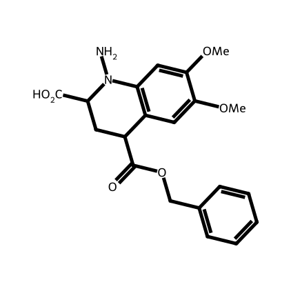 COc1cc2c(cc1OC)N(N)C(C(=O)O)CC2C(=O)OCc1ccccc1